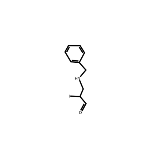 O=CC(I)CNCc1ccccc1